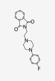 O=C1c2ccccc2C(=O)N1CCN1CCN(c2ccc(F)cc2)CC1